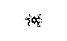 CCCC(=O)OC.COC(=O)c1ccccc1C(=O)OC